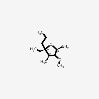 B[C@@H]1O[C@@](CC)(CCC)[C@H](C)C1OC